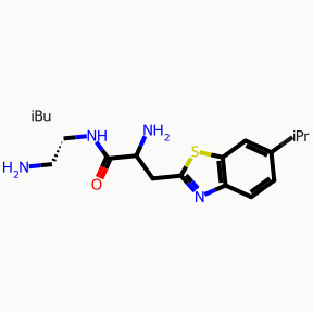 CC[C@H](C)[C@@H](CN)NC(=O)C(N)Cc1nc2ccc(C(C)C)cc2s1